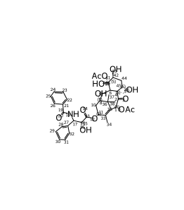 CC(=O)O[C@H]1C(=O)[C@@]2(C)C(C[C@]3(O)C[C@H](OC(=O)[C@H](O)C(NC(=O)c4ccccc4)c4ccccc4)C(C)=C1C3(C)C)[C@](O)(OC(C)=O)[C@@H](O)C[C@@H]2O